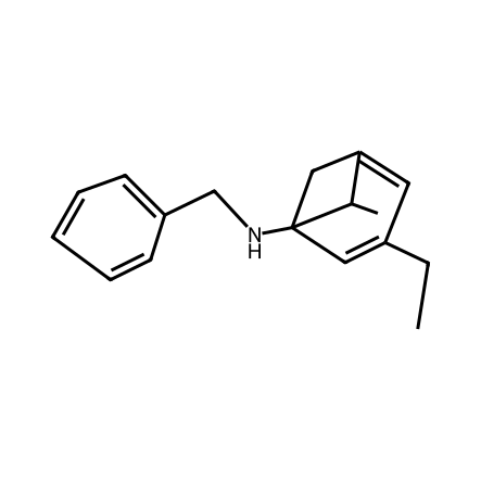 CCC1=CC2(NCc3ccccc3)CC(=C1)C2C